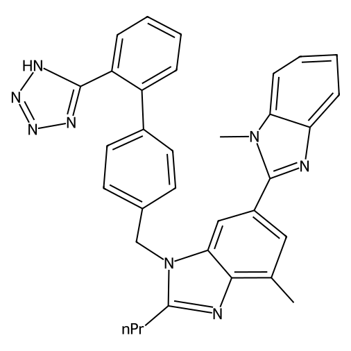 CCCc1nc2c(C)cc(-c3nc4ccccc4n3C)cc2n1Cc1ccc(-c2ccccc2-c2nnn[nH]2)cc1